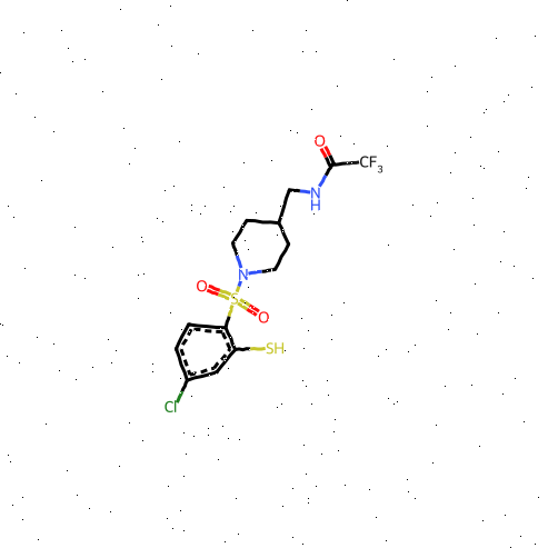 O=C(NCC1CCN(S(=O)(=O)c2ccc(Cl)cc2S)CC1)C(F)(F)F